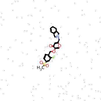 CS(=O)(=O)c1ccc(COc2coc(CN3CC4=C(CCC=C4)C3)cc2=O)c(F)c1